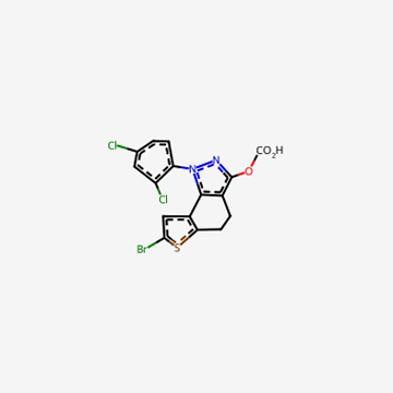 O=C(O)Oc1nn(-c2ccc(Cl)cc2Cl)c2c1CCc1sc(Br)cc1-2